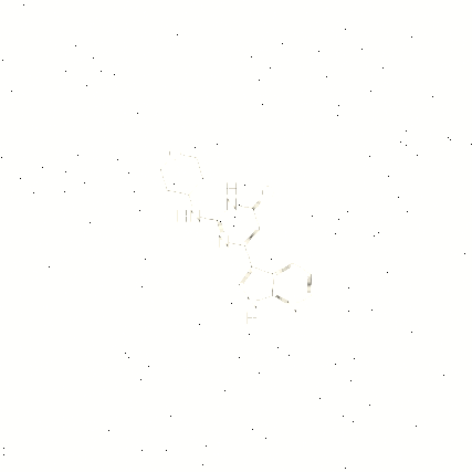 O=c1cc(-c2c[nH]c3ncccc23)nc(NC2CCOCC2)[nH]1